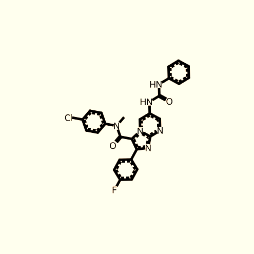 CN(C(=O)c1c(-c2ccc(F)cc2)nc2ncc(NC(=O)Nc3ccccc3)cn12)c1ccc(Cl)cc1